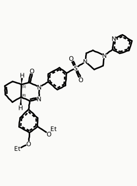 CCOc1ccc(C2=NN(c3ccc(S(=O)(=O)N4CCN(c5ccccn5)CC4)cc3)C(=O)[C@H]3CC=CC[C@@H]23)cc1OCC